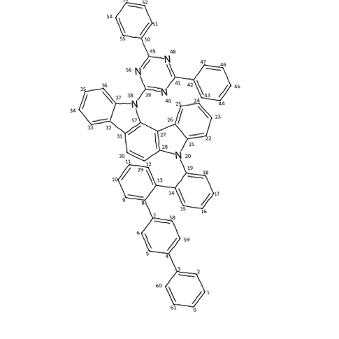 c1ccc(-c2ccc(-c3ccccc3-c3ccccc3-n3c4ccccc4c4c3ccc3c5ccccc5n(-c5nc(-c6ccccc6)nc(-c6ccccc6)n5)c34)cc2)cc1